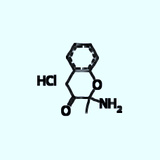 CC1(N)Oc2ccccc2CC1=O.Cl